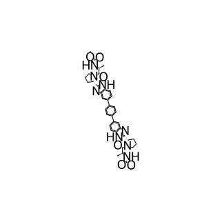 COC(=O)N[C@@H](C)C(=O)N1CCC[C@H]1c1nc2cc(-c3ccc(-c4ccc5[nH]c([C@@H]6CCCN6C(=O)[C@H](C)NC(=O)OC)nc5c4)cc3)ccc2[nH]1